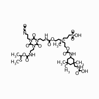 CSC(C)OC(=O)NCCn1c(=O)n(CCN=C=O)c(=O)n(CCNC(=O)OCC[N+](C)(CCCS(=O)(=O)O)CCOC(=O)NC2CC(C)(C)CC(C)(CNC(=O)O)C2)c1=O